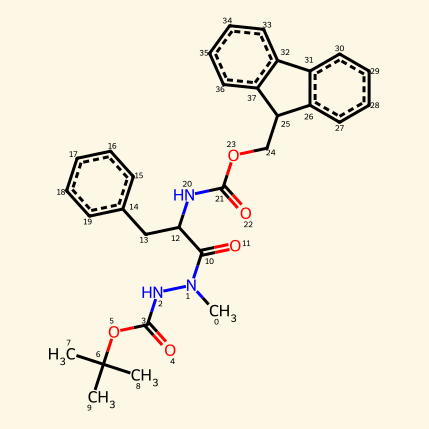 CN(NC(=O)OC(C)(C)C)C(=O)C(Cc1ccccc1)NC(=O)OCC1c2ccccc2-c2ccccc21